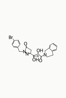 O=C([C@H](O)[C@@H](O)C1=NN(Cc2ccc(Br)cc2)C(=O)C1)N1CCc2ccccc2C1